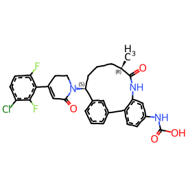 C[C@@H]1CCC[C@H](N2CCC(c3c(F)ccc(Cl)c3F)=CC2=O)c2cccc(c2)-c2ccc(NC(=O)O)cc2NC1=O